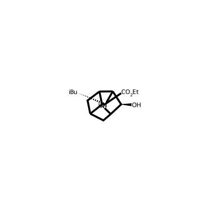 CCOC(=O)N1C2CC3CC1[C@H](O)C2NC3[C@@H](C)CC